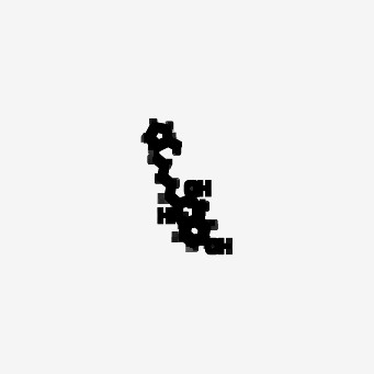 CC1CCC[C@H]1CCCCCC1Nc2ccc(O)cc2N=C1O